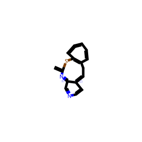 C=C1/N=c2/cncc/c2=C/CC2=C(C=C=CC=C2)S1